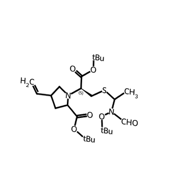 C=CC1CC(C(=O)OC(C)(C)C)N([C@H](CSC(C)N(C=O)OC(C)(C)C)C(=O)OC(C)(C)C)C1